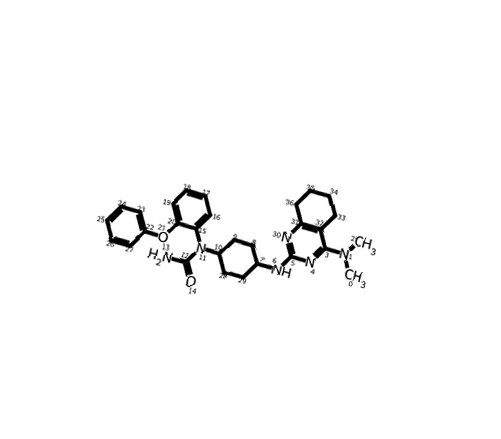 CN(C)c1nc(NC2CCC(N(C(N)=O)c3ccccc3Oc3ccccc3)CC2)nc2c1CCCC2